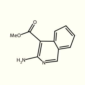 COC(=O)c1c(N)ncc2ccccc12